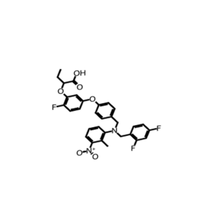 CCC(Oc1cc(Oc2ccc(CN(Cc3ccc(F)cc3F)c3cccc([N+](=O)[O-])c3C)cc2)ccc1F)C(=O)O